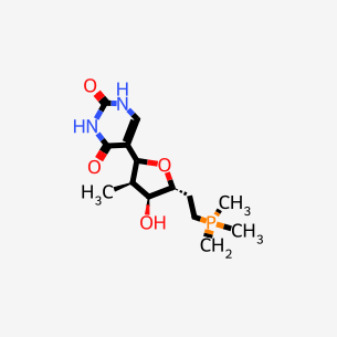 C=P(C)(C)CC[C@H]1OC(c2c[nH]c(=O)[nH]c2=O)[C@H](C)[C@@H]1O